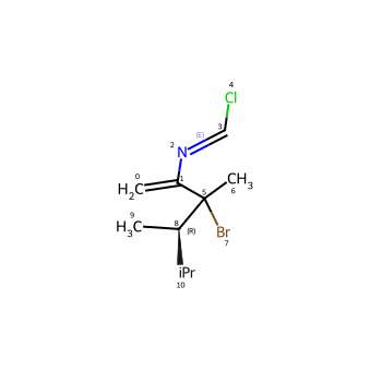 C=C(/N=C/Cl)C(C)(Br)[C@H](C)C(C)C